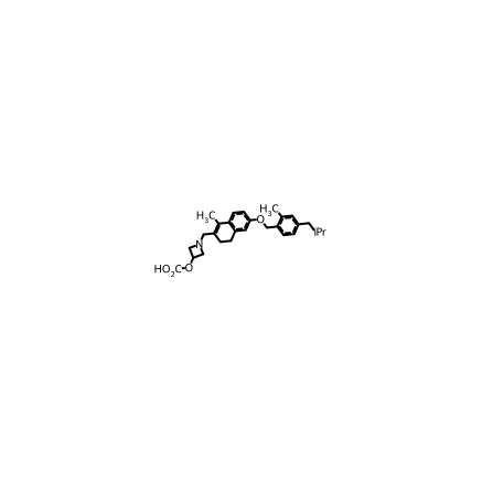 CC1=C(CN2CC(OC(=O)O)C2)CCc2cc(OCc3ccc(CC(C)C)cc3C)ccc21